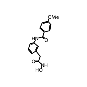 COc1ccc(C(=O)Nc2cccc(CC(=O)NO)c2)cc1